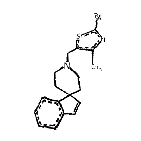 Cc1nc(Br)sc1CN1CCC2(C=Cc3ccccc32)CC1